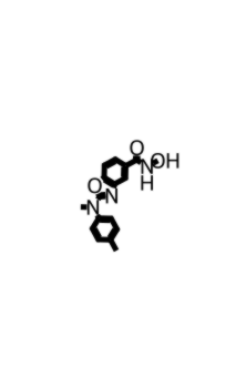 Cc1ccc(N(C)c2nc3cc(C(=O)NO)ccc3o2)cc1